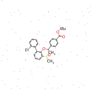 CCc1ccccc1-c1cccc([S+](C)[O-])c1OC(C)c1ccc(C(=O)OC(C)(C)C)cc1